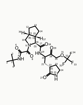 CC(C)(C)NC(=O)C(=O)N1C[C@@H]2CCC[C@@H]2[C@H]1C(=O)NC(C[C@@H]1CCNC1=O)C(=O)COC(F)(F)F